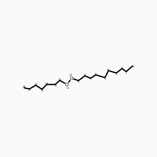 CCCCCCCCCCOOCCCCCCC